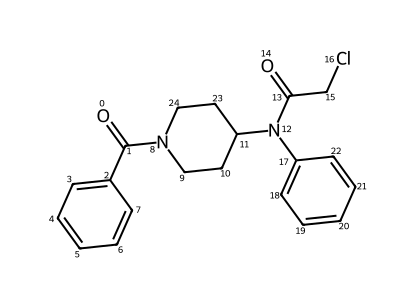 O=C(c1ccccc1)N1CCC(N(C(=O)CCl)c2ccccc2)CC1